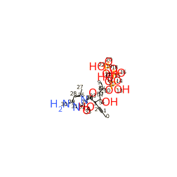 CC#CC1(O)C(O)[C@@H]([C@@H](C)OP(=O)(O)OP(=O)(O)OP(=O)(O)O)O[C@H]1n1c(C)cc(N)nc1=O